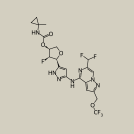 CC1(NC(=O)O[C@H]2CO[C@@H](c3cc(Nc4nc(C(F)F)cn5nc(COC(F)(F)F)cc45)n[nH]3)[C@H]2F)CC1